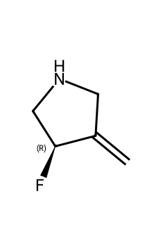 C=C1CNC[C@@H]1F